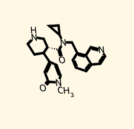 Cn1ccc(C2CCNC[C@@H]2C(=O)N(Cc2cccc3ccncc23)C2CC2)cc1=O